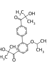 CC(C)Oc1ccc(C(=O)C(C)(C)O)cc1-c1ccc(C(=O)C(C)(C)O)cc1